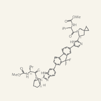 COC(=O)NC(C(=O)N1CC2(CC2)C[C@H]1c1ncc(-c2ccc3c(c2)C(F)(F)c2cc(-c4ccc5nc([C@@H]6[C@H]7CCC(C7)N6C(=O)[C@@H](NC(=O)OC)C(C)C)[nH]c5c4)ccc2-3)[nH]1)C(C)C